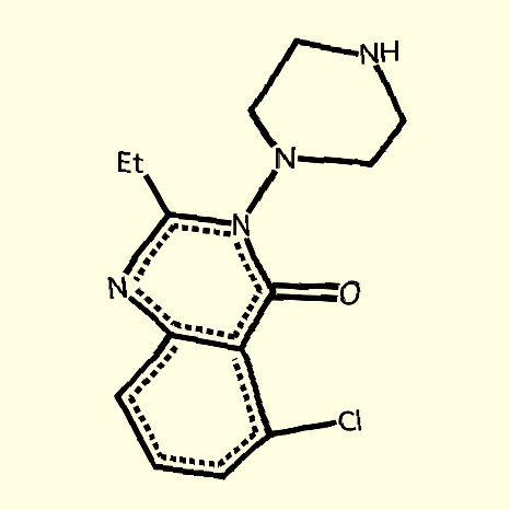 CCc1nc2cccc(Cl)c2c(=O)n1N1CCNCC1